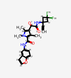 C#CC1(NC(=O)C(=O)c2c(C)c(C(=O)Nc3ccc4occc4c3)n(C)c2C)CC(F)(F)C1